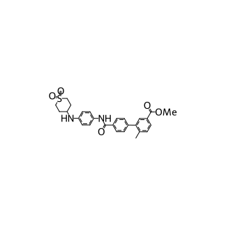 COC(=O)c1ccc(C)c(-c2ccc(C(=O)Nc3ccc(NC4CCS(=O)(=O)CC4)cc3)cc2)c1